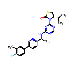 Cc1cc(-c2ccc([C@H](C)Nc3ncnc(N4C(=O)SC[C@@H]4C(C)C)n3)nc2)ccc1F